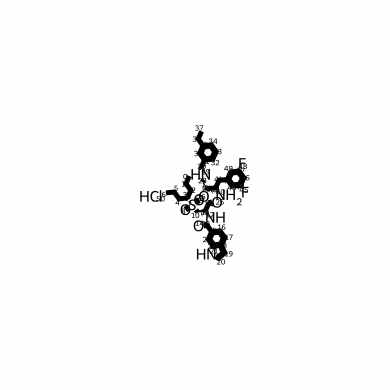 CCCC(CCC)S(=O)(=O)C[C@H](NC(=O)c1ccc2cc[nH]c2c1)C(=O)O[C@H](CNCc1cccc(CC)c1)[C@@H](N)Cc1cc(F)cc(F)c1.Cl